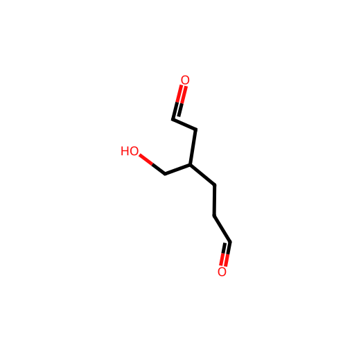 O=CCCC(CO)CC=O